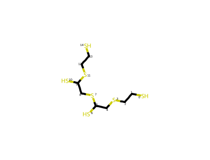 SCCSCC(S)SCC(S)SCCS